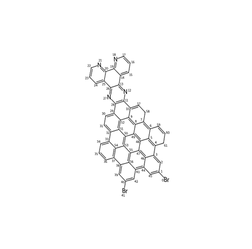 Brc1cc2c3c4c(c5c6c7c(c8nc9c%10cccnc%10c%10ncccc%10c9nc8c8ccc9c%10cccc%11c%12cc(Br)cc%13c(c1)c2c1c4c6c(c9c87)c(c%11%10)c1c%13%12)=CC5)C=CC3